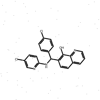 Oc1c(C(Nc2ccc(Cl)cn2)c2ccc(Cl)cc2)ccc2cccnc12